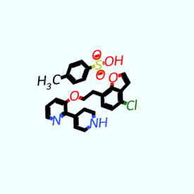 Cc1ccc(S(=O)(=O)O)cc1.Clc1ccc(CCOc2cccnc2C2=CCNCC2)c2occc12